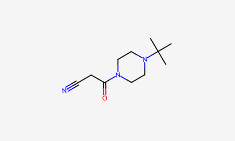 CC(C)(C)N1CCN(C(=O)CC#N)CC1